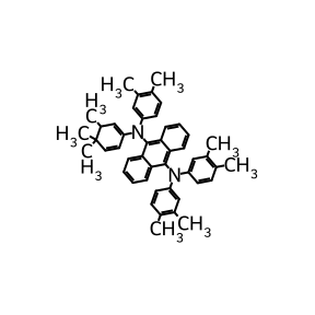 Cc1ccc(N(C2=CC(C)C(C)(C)C=C2)c2c3ccccc3c(N(c3ccc(C)c(C)c3)c3ccc(C)c(C)c3)c3ccccc23)cc1C